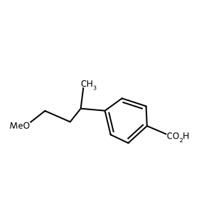 COCCC(C)c1ccc(C(=O)O)cc1